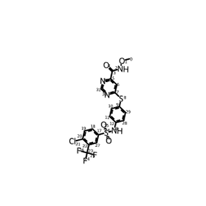 CONC(=O)c1cc(Sc2ccc(NS(=O)(=O)c3ccc(Cl)c(C(F)(F)F)c3)cc2)ncn1